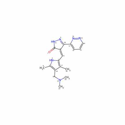 Cc1[nH]c(C=C2C(=O)NN=C2c2cccnn2)c(C)c1CN(C)C